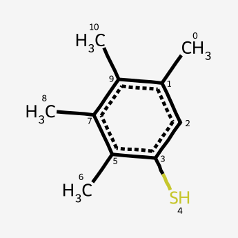 Cc1cc(S)c(C)c(C)c1C